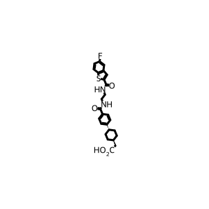 O=C(O)C[C@H]1CC[C@H](c2ccc(C(=O)NCCNC(=O)c3cc4cc(F)ccc4s3)cc2)CC1